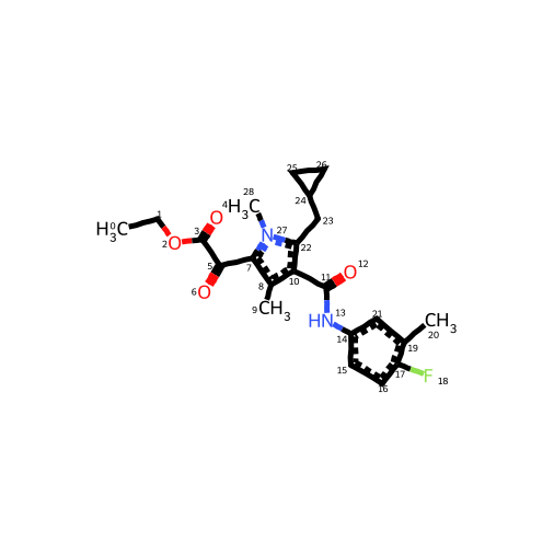 CCOC(=O)C(=O)c1c(C)c(C(=O)Nc2ccc(F)c(C)c2)c(CC2CC2)n1C